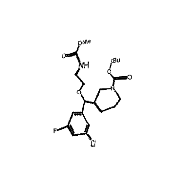 COC(=O)NCCOC(c1cc(F)cc(Cl)c1)C1CCCN(C(=O)OC(C)(C)C)C1